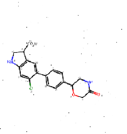 O=C1COC(c2ccc(-c3cc4c(cc3Cl)NCC4C(=O)O)cc2)CN1